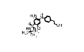 CC(C)(C)NS(=O)(=O)c1cc(N)c(Nc2ccc(CCO)cc2)cc1Cl